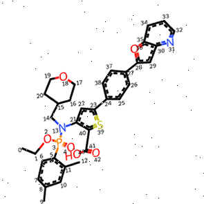 CCOP(=O)(c1ccc(C)cc1C)N(CC1CCOCC1)c1cc(-c2ccc(-c3cc4ncccc4o3)cc2)sc1C(=O)O